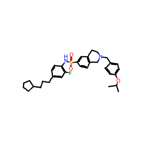 CC(C)Oc1ccc(CN2CCc3cc(S(=O)(=O)Nc4ccc(CCCC5CCCC5)cc4F)ccc3C2)cc1